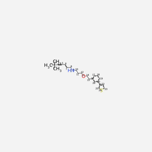 CC(C)(C)C#C/C=C/CNCCCOCCc1cccc(-c2ccsc2)c1